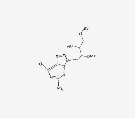 COC(Cn1cnc2c(Cl)nc(N)nc21)C(O)COC(C)C